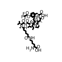 CC[C@H](C)[C@]([C@@H](CC=O)OC)(N(C)[C@H](C(=O)NC(=O)[C@H](C(C)C)N(C)CCCCCC(=O)NCCCC[C@H](N)C(=O)O)C(C)C)N1CCC[C@H]1[C@H](OC)[C@@H](C)C(=O)N[C@@H](Cc1ccc(OC(=O)C(F)(F)F)cc1)C(=O)O